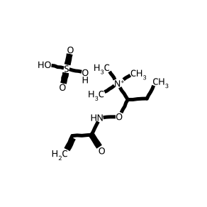 C=CC(=O)NOC(CC)[N+](C)(C)C.O=S(=O)(O)O